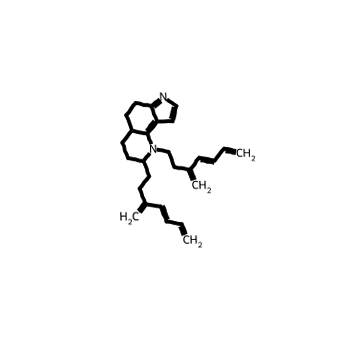 C=CC=CC(=C)CCC1CCC2CCC3=NC=CC3=C2N1CCC(=C)C=CC=C